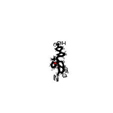 Cc1nc(-c2cccc(-c3ccc(C(=O)O)cc3)c2)c2c(n1)[C@@]1(c3ccccc3)C=C(C#N)C(=O)[C@@H](C)[C@@H]1CC2